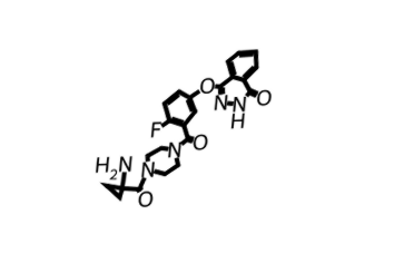 NC1(C(=O)N2CCN(C(=O)c3cc(Oc4n[nH]c(=O)c5ccccc45)ccc3F)CC2)CC1